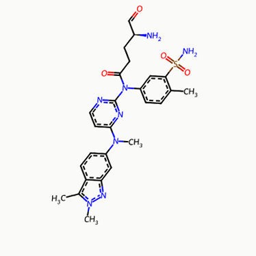 Cc1ccc(N(C(=O)CC[C@H](N)C=O)c2nccc(N(C)c3ccc4c(C)n(C)nc4c3)n2)cc1S(N)(=O)=O